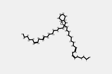 CCCCC/C=C\C/C=C\CCCCCCCCC1(CCCCCCC/C=C/C/C=C\CCCCC)CC2CCCCC2O1